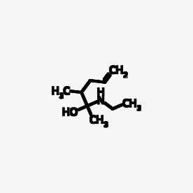 C=CCC(C)C(C)(O)NCC